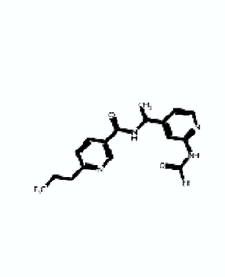 CCC(=O)Nc1cc(C(C)NC(=O)c2ccc(CCC(F)(F)F)nc2)ccn1